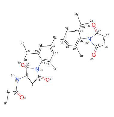 CCC(=O)N(C)C1CC(=O)N(c2c(C)cc(Cc3cc(C)c(N4C(=O)C=CC4=O)c(C(C)C)c3)cc2C(C)C)C1=O